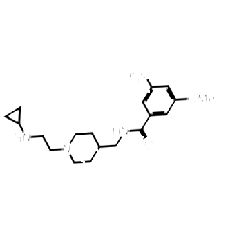 COc1cc(C(=O)NCC2CCN(CCNC3CC3)CC2)cc(C(F)(F)F)c1